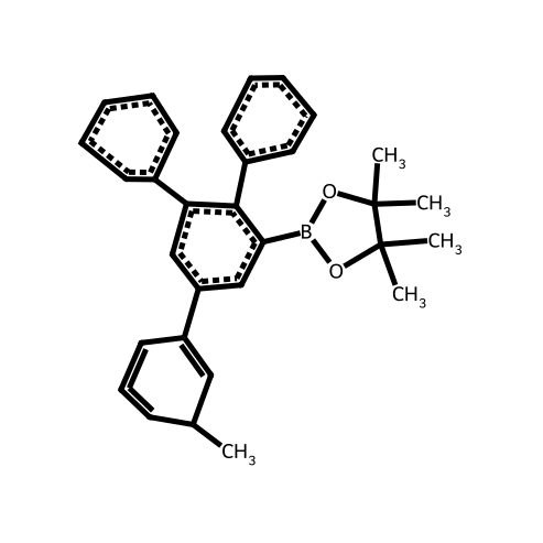 CC1C=C=CC(c2cc(B3OC(C)(C)C(C)(C)O3)c(-c3ccccc3)c(-c3ccccc3)c2)=C1